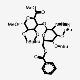 CCCCOC1C(OCCCC)[C@H](O[C@@H]2OC(COC(=O)c3ccccc3)[C@@H](OCCCC)[C@H](OCCCC)C2N=[N+]=[N-])C(C(=O)OC)O[C@H]1OC